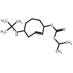 CC(C)SC(=O)OC1/C=C/CC(NC(C)(C)C)CCC1